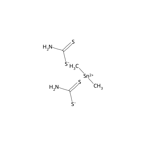 NC(=S)[S-].NC(=S)[S-].[CH3][Sn+2][CH3]